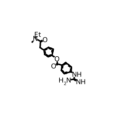 CCN(C)C(=O)Cc1ccc(OC(=O)c2ccc(NC(=N)N)cc2)cc1